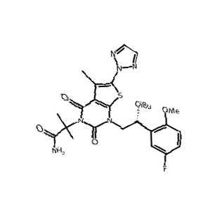 COc1ccc(F)cc1[C@H](Cn1c(=O)n(C(C)(C)C(N)=O)c(=O)c2c(C)c(-n3nccn3)sc21)OCC(C)C